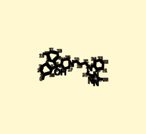 Cc1cccc(C(O)(c2cccc(C)c2)C2CCN(CCCN3Cc4nnc(C)n4-c4ccccc43)CC2)c1